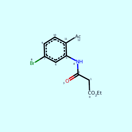 CCOC(=O)CC(=O)Nc1cc(Br)ccc1C(C)=O